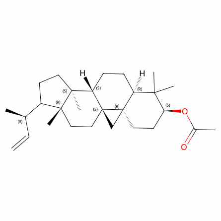 C=C[C@@H](C)C1CC[C@@]2(C)[C@@H]3CC[C@H]4C(C)(C)[C@@H](OC(C)=O)CC[C@@]45C[C@@]35CC[C@]12C